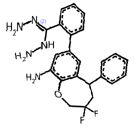 N/N=C(\NN)c1ccccc1-c1cc(N)c2c(c1)C(c1ccccc1)CC(F)(F)CO2